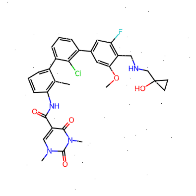 COc1cc(-c2cccc(-c3cccc(NC(=O)c4cn(C)c(=O)n(C)c4=O)c3C)c2Cl)cc(F)c1CNCC1(O)CC1